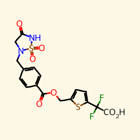 O=C1CN(Cc2ccc(C(=O)OCc3ccc(C(F)(F)C(=O)O)s3)cc2)S(=O)(=O)N1